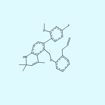 C=CCc1ccccc1OCc1c(-c2ccc(F)cc2OC)ccc2c1C(C)=CC(C)(C)N2